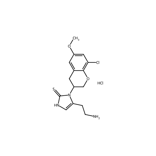 COc1cc(Cl)c2c(c1)CC(n1c(CCN)c[nH]c1=S)CO2.Cl